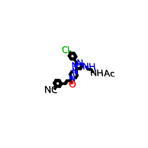 CC(=O)NCCNc1cc(N2CCN(C(=O)C=Cc3cccc(C#N)c3)CC2)nc(-c2ccc(Cl)cc2)n1